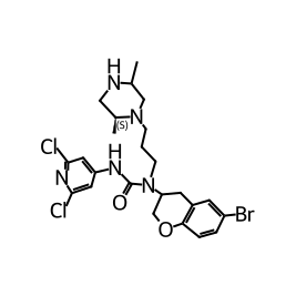 CC1CN(CCCN(C(=O)Nc2cc(Cl)nc(Cl)c2)C2COc3ccc(Br)cc3C2)[C@@H](C)CN1